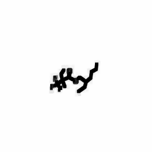 CCCCC(CC)COC(=O)C(C)(CC)C(F)(F)F